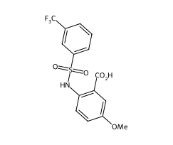 COc1ccc(NS(=O)(=O)c2cccc(C(F)(F)F)c2)c(C(=O)O)c1